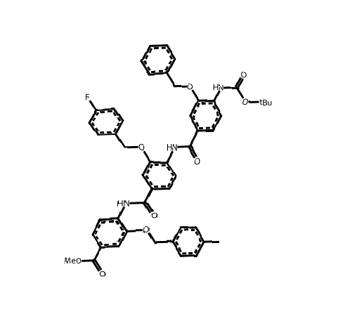 COC(=O)c1ccc(NC(=O)c2ccc(NC(=O)c3ccc(NC(=O)OC(C)(C)C)c(OCc4ccccc4)c3)c(OCc3ccc(F)cc3)c2)c(OCc2ccc(C)cc2)c1